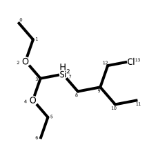 CCOC(OCC)[SiH2]CC(CC)CCl